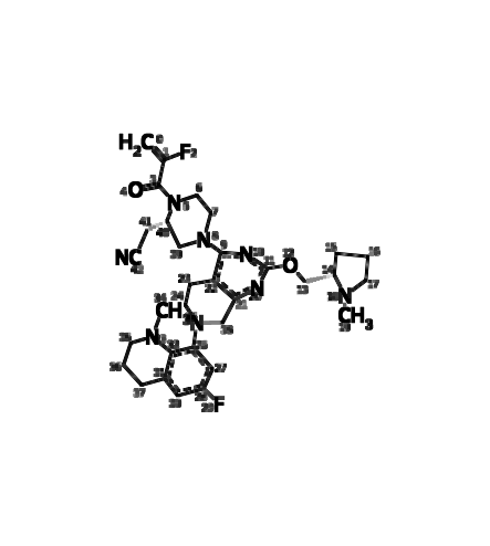 C=C(F)C(=O)N1CCN(c2nc(OC[C@@H]3CCCN3C)nc3c2CCN(c2cc(F)cc4c2N(C)CCC4)C3)C[C@@H]1CC#N